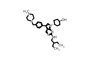 CCC(CC)CNc1ncc2c(-c3ccc(CN4CCN(C)CC4)cc3)cn([C@H]3CC[C@H](O)CC3)c2n1